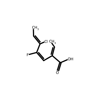 CC=C(Cl)/C(F)=C\C(=C/C)C(=O)O